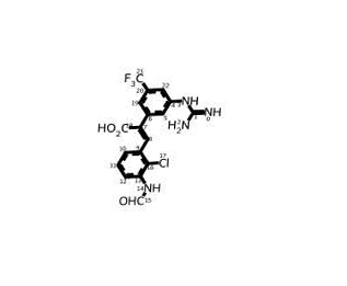 N=C(N)Nc1cc(C(=Cc2cccc(NC=O)c2Cl)C(=O)O)cc(C(F)(F)F)c1